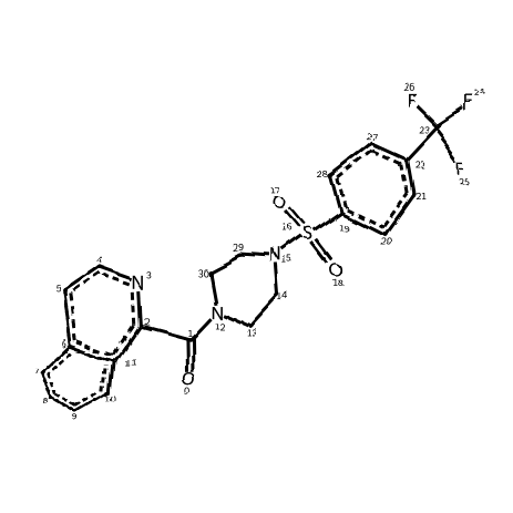 O=C(c1nccc2ccccc12)N1CCN(S(=O)(=O)c2ccc(C(F)(F)F)cc2)CC1